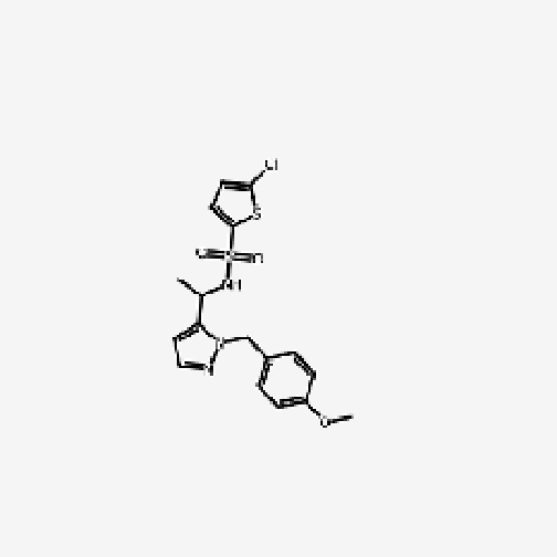 COc1ccc(Cn2nccc2C(C)NS(=O)(=O)c2ccc(Cl)s2)cc1